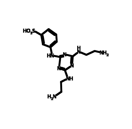 NCCNc1nc(NCCN)nc(Nc2cccc(S(=O)(=O)O)c2)n1